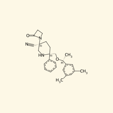 Cc1cc(C)cc([C@@H](C)OC[C@@]2(c3ccccc3)CC[C@](C#N)(N3CCC3=O)CN2)c1